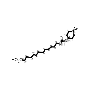 CC(=O)N1CCC(NC(=O)NCCCCCCCCCCCCC(=O)O)CC1